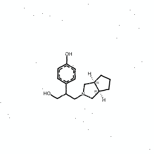 OCC(CN1C[C@H]2CCC[C@H]2C1)c1ccc(O)cc1